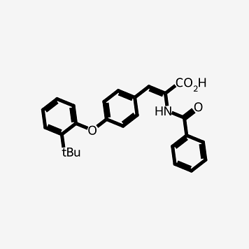 CC(C)(C)c1ccccc1Oc1ccc(/C=C(\NC(=O)c2ccccc2)C(=O)O)cc1